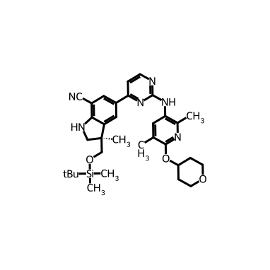 Cc1cc(Nc2nccc(-c3cc(C#N)c4c(c3)[C@@](C)(CO[Si](C)(C)C(C)(C)C)CN4)n2)c(C)nc1OC1CCOCC1